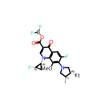 CC[C@H]1CN(c2c(F)cc3c(=O)c(C(=O)OB(F)F)cn([C@@H]4C[C@@H]4F)c3c2OC)C[C@H]1C